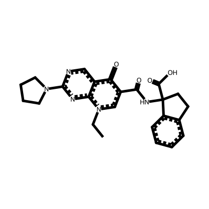 CCn1cc(C(=O)NC2(C(=O)O)CCc3ccccc32)c(=O)c2cnc(N3CCCC3)nc21